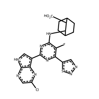 O=C(O)C1C2CCC(CC2)C1Nc1nc(-c2c[nH]c3ncc(Cl)nc23)nc(-c2cnns2)c1F